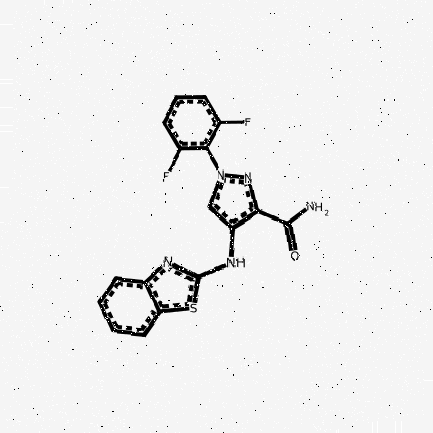 NC(=O)c1nn(-c2c(F)cccc2F)cc1Nc1nc2ccccc2s1